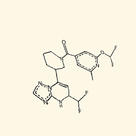 Cc1cc(C(=O)N2CCCC(C3=CC(C(F)F)Nc4ncnn43)C2)cc(OC(F)F)n1